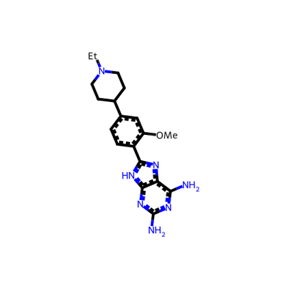 CCN1CCC(c2ccc(-c3nc4c(N)nc(N)nc4[nH]3)c(OC)c2)CC1